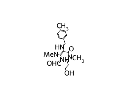 CN/C(NC=O)=C(\NCc1ccc(C)cc1)C(=O)N(C)CCCO